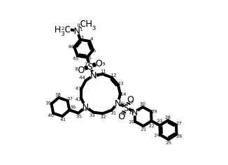 CN(C)c1ccc(S(=O)(=O)N2C/C=C\CN(S(=O)(=O)N3CCC(c4ccccc4)CC3)CCCN(CC3CCCCC3)CCC2)cc1